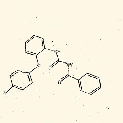 O=C(NC(=S)Nc1ccccc1Oc1ccc(Br)cc1)c1ccccc1